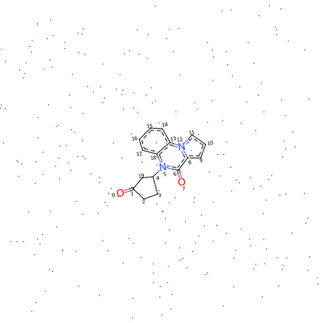 O=C1CCC(n2c(=O)c3cccn3c3ccccc32)C1